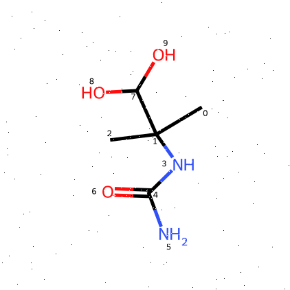 CC(C)(NC(N)=O)C(O)O